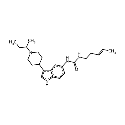 CC=CCCNC(=O)Nc1ccc2[nH]cc(C3CCN(C(C)CC)CC3)c2c1